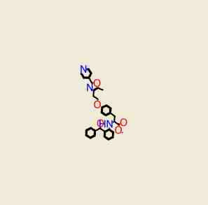 COC(=O)C(Cc1ccc(OCCc2nc(-c3ccncc3)oc2C)cc1)Nc1ccccc1C(=O)c1ccccc1